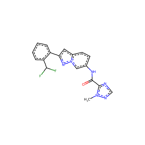 Cn1ncnc1C(=O)Nc1ccc2cc(-c3ccccc3C(F)F)nn2c1